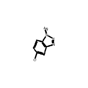 Clc1ccc2c(c1)nn[n]2[Ag]